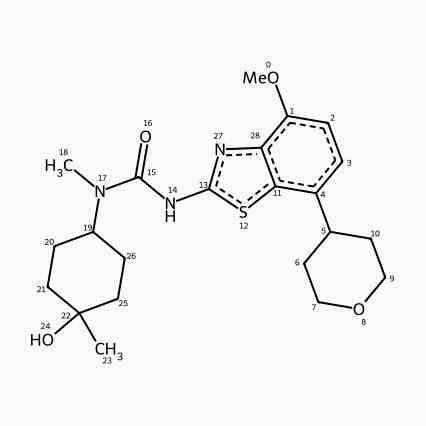 COc1ccc(C2CCOCC2)c2sc(NC(=O)N(C)C3CCC(C)(O)CC3)nc12